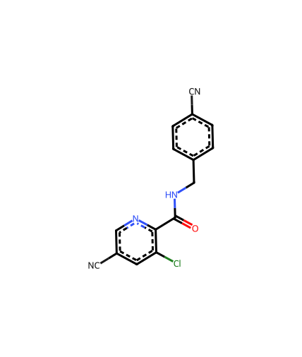 N#Cc1ccc(CNC(=O)c2ncc(C#N)cc2Cl)cc1